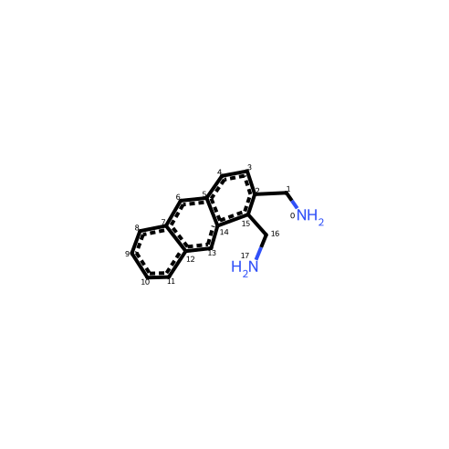 NCc1ccc2cc3ccccc3cc2c1CN